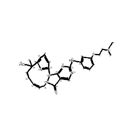 CN(C)CCOc1cccc(Nc2ncc3c(=O)n4n(c3n2)-c2cccc(n2)C(C)(O)CC/C=C\C4)c1